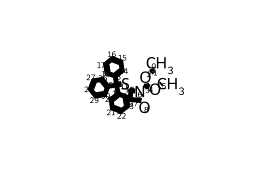 CCOC(OC)N1C(=O)CC1SC(c1ccccc1)(c1ccccc1)c1ccccc1